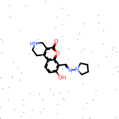 O=c1oc2c(/C=N/N3CCCC3)c(O)ccc2c2c1CNCC2